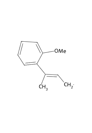 [CH2]C=C(C)c1ccccc1OC